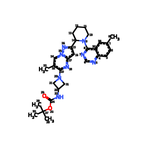 Cc1ccc2ncnc(N3CCCCC3c3cc4nc(N5CC(NC(=O)OC(C)(C)C)C5)c(C)cn4n3)c2c1